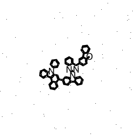 c1ccc(-n2c3ccccc3c3c4ccccc4c(-c4ccc5c6ccccc6n(-c6nc(-c7ccc8oc9ccccc9c8c7)c7ccccc7n6)c5c4)cc32)cc1